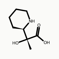 C[C@](O)(C(=O)O)[C@H]1CCCCN1